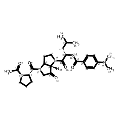 CC(=O)N1CCC[C@H]1C(=O)N1CC(=O)[C@@H]2C1CCN2C(=O)[C@H](CC(C)C)NC(=O)c1ccc(N(C)C)cc1